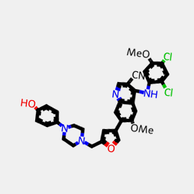 COc1cc(Nc2c(C#N)cnc3cc(-c4coc(CN5CCN(c6ccc(O)cc6)CC5)c4)c(OC)cc23)c(Cl)cc1Cl